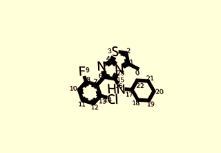 Cc1csc2nc(-c3c(F)cccc3Cl)c(NC3CCCCC3)n12